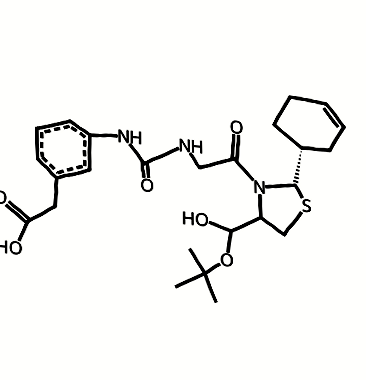 CC(C)(C)OC(O)C1CSC([C@H]2CC=CCC2)N1C(=O)CNC(=O)Nc1cccc(CC(=O)O)c1